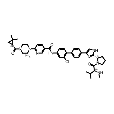 CN[C@H](C(=O)N1CCC[C@H]1c1nc(-c2ccc(-c3ccc(NC(=O)c4ccc(N5CCN(C(=O)[C@H]6CC6(C)C)C[C@H]5C)nc4)cc3Cl)cc2)c[nH]1)C(C)C